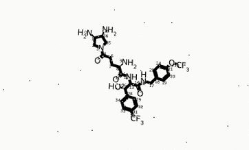 N[C@@H]1CN(C(=O)CC[C@H](N)C(=O)NC(C(=O)NCc2ccc(OC(F)(F)F)cc2)[C@H](O)c2ccc(C(F)(F)F)cc2)C[C@@H]1N